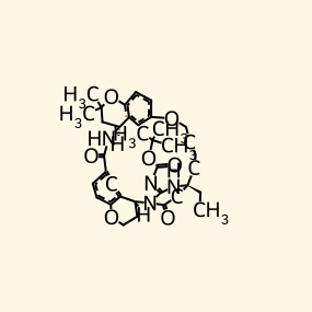 CC[C@@]12CCCCOc3ccc4c(c3)[C@H](CC(C)(C)O4)NC(=O)c3ccc4c(c3)[C@@H](CCO4)N(C(=O)C1)/C(=N/C(=O)OC(C)(C)C)N2